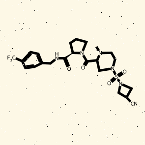 CN1CCN(S(=O)(=O)N2CC(C#N)C2)CC1C(=O)N1CCC[C@@H]1C(=O)NCc1ccc(C(F)(F)F)cc1